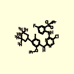 [2H]C1([2H])CC(c2cc(OC(C)C)c(Nc3ncc(Cl)c(Nc4ccc(F)cc4S(=O)(=O)C(C)C)n3)cc2C)CC([2H])([2H])N1